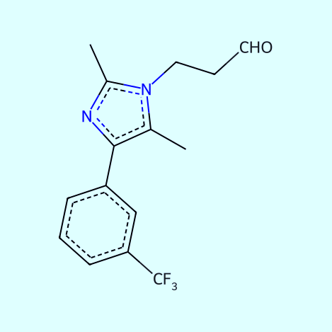 Cc1nc(-c2cccc(C(F)(F)F)c2)c(C)n1CCC=O